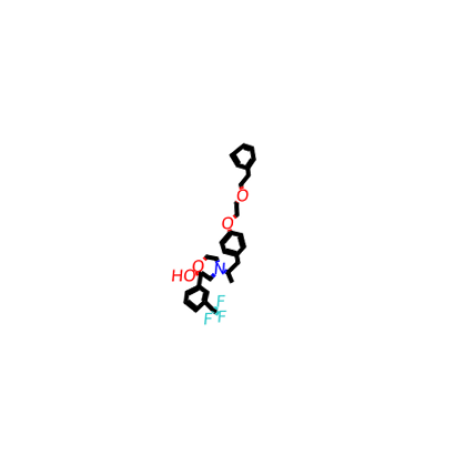 CC(Cc1ccc(OCCOCCc2ccccc2)cc1)N1CCOC(O)(c2cccc(C(F)(F)F)c2)C1